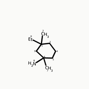 CCC1(C)CCCC(C)(N)C1